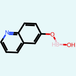 OBOc1ccc2ncccc2c1